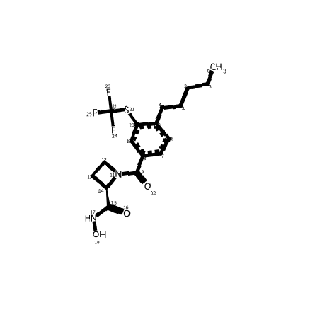 CCCCCc1ccc(C(=O)N2CC[C@@H]2C(=O)NO)cc1SC(F)(F)F